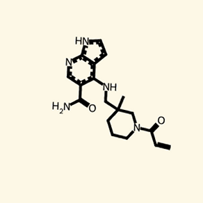 C=CC(=O)N1CCCC(C)(CNc2c(C(N)=O)cnc3[nH]ccc23)C1